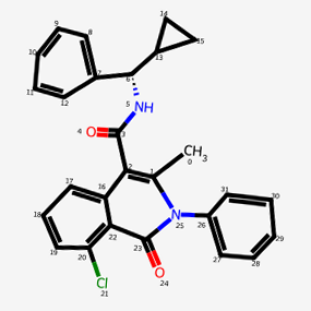 Cc1c(C(=O)N[C@H](c2ccccc2)C2CC2)c2cccc(Cl)c2c(=O)n1-c1ccccc1